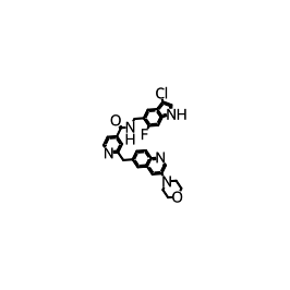 O=C(NCc1cc2c(Cl)c[nH]c2cc1F)c1ccnc(Cc2ccc3ncc(N4CCOCC4)cc3c2)c1